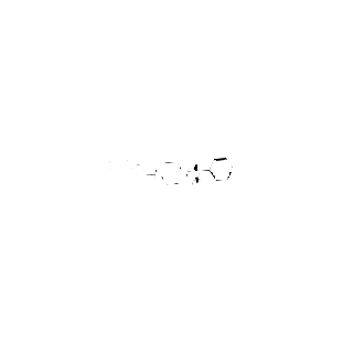 O=S(=O)(c1ccccc1)N1CCN(CCO)CC1